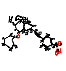 CC1(C)CCC(OC2CCCCC2)c2cc(C#Cc3ccc(C(=O)O)cc3)ccc21